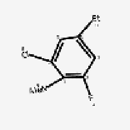 CCc1cc(F)c(NC)c(Cl)c1